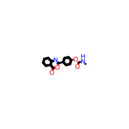 CNC(=O)Oc1ccc(-c2nc3ccccc3c(=O)o2)cc1